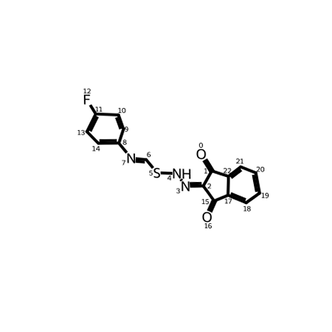 O=c1c(=NNSC=Nc2ccc(F)cc2)c(=O)c2ccccc12